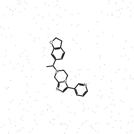 CC(c1ccc2c(c1)OCC2)N1CCn2c(-c3cccnc3)cnc2C1